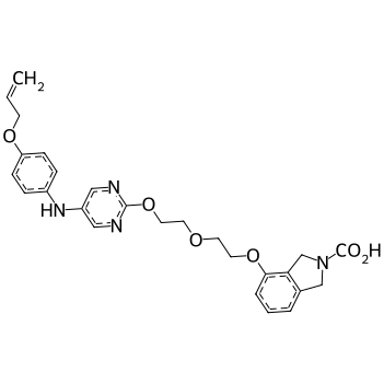 C=CCOc1ccc(Nc2cnc(OCCOCCOc3cccc4c3CN(C(=O)O)C4)nc2)cc1